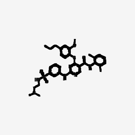 CCCc1ccc(Oc2nc(Nc3cccc(S(=O)(=O)NCCN(C)C)c3)ncc2C(=O)Nc2c(C)cccc2C)c(OC)c1